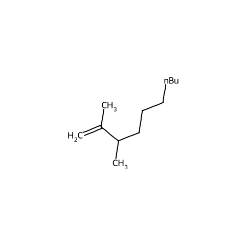 C=C(C)C(C)CCCCCCC